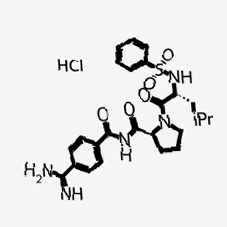 CC(C)C[C@@H](NS(=O)(=O)c1ccccc1)C(=O)N1CCC[C@H]1C(=O)NC(=O)c1ccc(C(=N)N)cc1.Cl